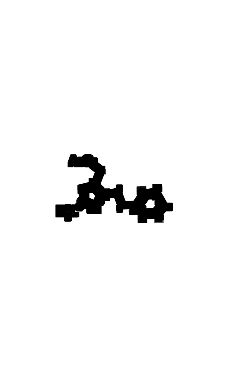 CC(=O)OCc1cc(C)nn1CCc1ccccc1